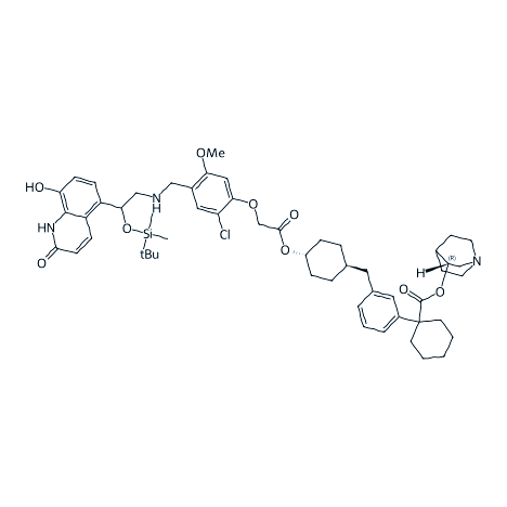 COc1cc(OCC(=O)O[C@H]2CC[C@H](Cc3cccc(C4(C(=O)O[C@H]5CN6CCC5CC6)CCCCC4)c3)CC2)c(Cl)cc1CNCC(O[Si](C)(C)C(C)(C)C)c1ccc(O)c2[nH]c(=O)ccc12